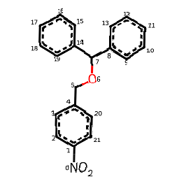 O=[N+]([O-])c1ccc(COC(c2ccccc2)c2ccccc2)cc1